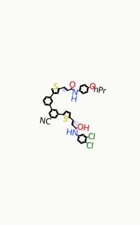 CCCOc1ccc(NC(=O)/C=C/c2cc(-c3cccc(-c4cc(C#N)cc(-c5ccc(/C=C/C(O)Nc6ccc(Cl)c(Cl)c6)s5)c4)c3)cs2)cc1